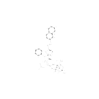 CC(C)C[C@H](NC(=O)C1(Cc2ccccc2)CC(COc2ccc3ccccc3c2)=NO1)B1O[C@@H]2C[C@@H]3C[C@@H](C3(C)C)[C@]2(C)O1